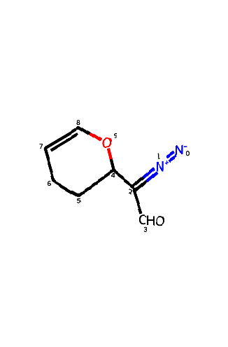 [N-]=[N+]=C(C=O)C1CCC=CO1